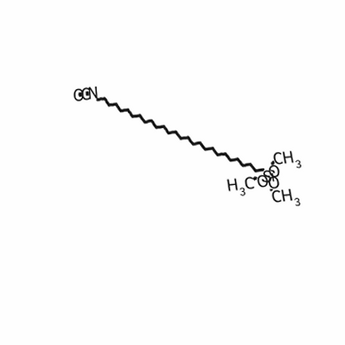 CCO[Si](CCCCCCCCCCCCCCCCCCCCCCCCCCCCN=C=O)(OCC)OCC